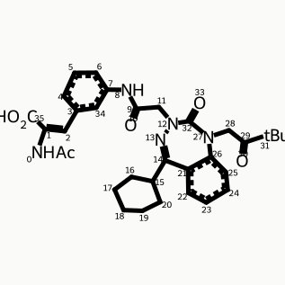 CC(=O)NC(=Cc1cccc(NC(=O)CN2N=C(C3CCCCC3)c3ccccc3N(CC(=O)C(C)(C)C)C2=O)c1)C(=O)O